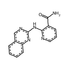 NC(=O)c1cccnc1Nc1ncc2ccccc2n1